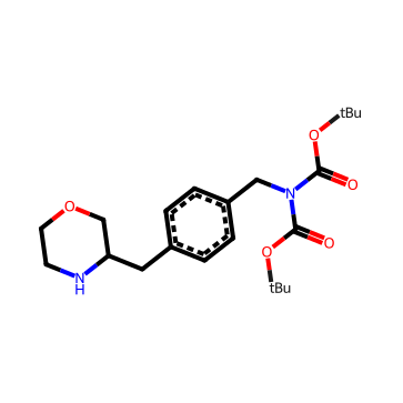 CC(C)(C)OC(=O)N(Cc1ccc(CC2COCCN2)cc1)C(=O)OC(C)(C)C